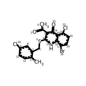 CC(=O)c1c(SCc2cc(Cl)ccc2C)[nH]c2c(Br)ccc(Cl)c2c1=O